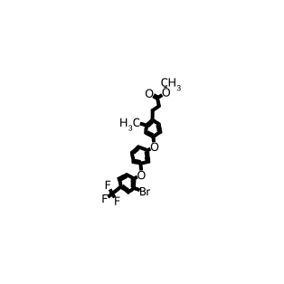 COC(=O)CCc1ccc(Oc2cccc(Oc3ccc(C(F)(F)F)cc3Br)c2)cc1C